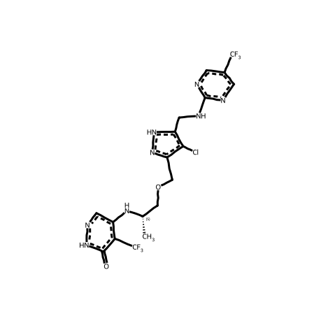 C[C@@H](COCc1n[nH]c(CNc2ncc(C(F)(F)F)cn2)c1Cl)Nc1cn[nH]c(=O)c1C(F)(F)F